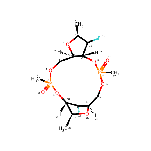 C[C@@H]1O[C@@H]2COP(C)(=O)O[C@@H]3C(F)[C@@H](COP(C)(=O)O[C@H]2C1F)O[C@H]3C